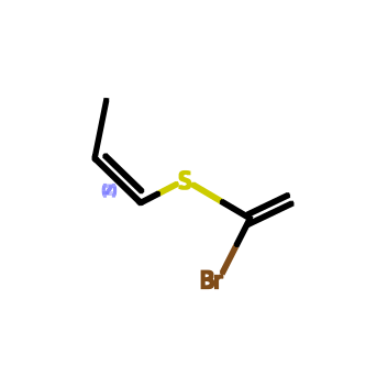 C=C(Br)S/C=C\C